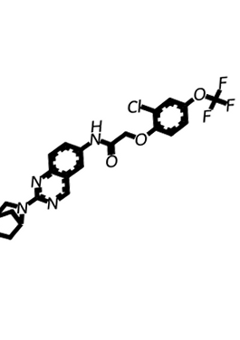 O=C(COc1ccc(OC(F)(F)F)cc1Cl)Nc1ccc2nc(N3CC4CC3CN4)ncc2c1